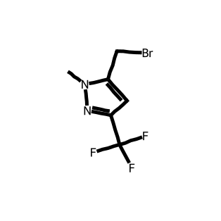 Cn1nc(C(F)(F)F)cc1CBr